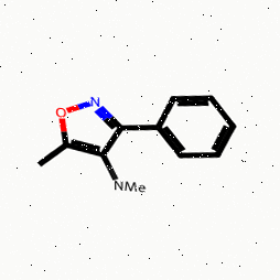 CNc1c(-c2ccccc2)noc1C